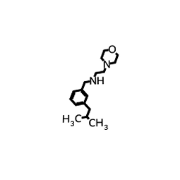 CC(C)Cc1cccc(CNCCN2CCOCC2)c1